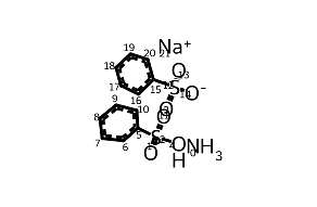 N.O=S(=O)(O)c1ccccc1.O=S(=O)([O-])c1ccccc1.[Na+]